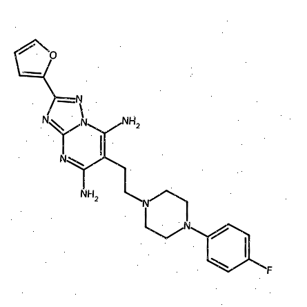 Nc1nc2nc(-c3ccco3)nn2c(N)c1CCN1CCN(c2ccc(F)cc2)CC1